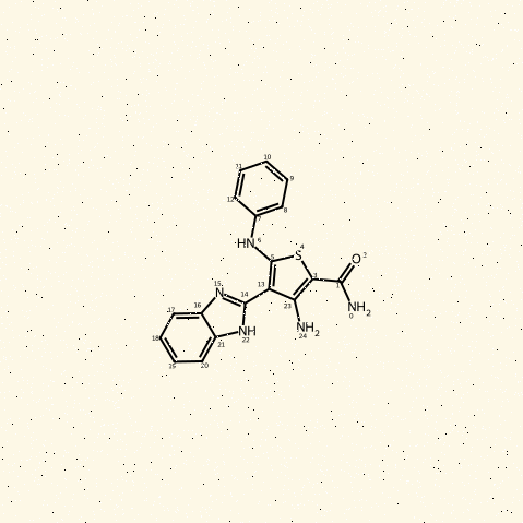 NC(=O)c1sc(Nc2ccccc2)c(-c2nc3ccccc3[nH]2)c1N